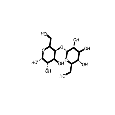 OCC1O[C@H](O[C@@H]2C(CO)O[C@@H](O)[C@@H](O)C2O)[C@@H](O)C(O)[C@@H]1O